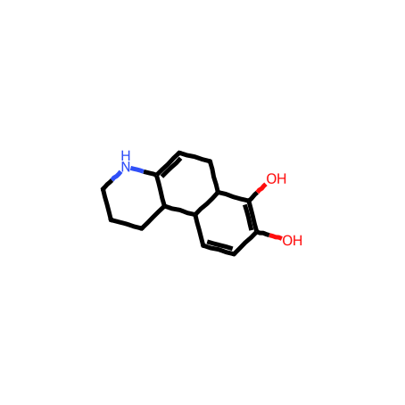 OC1=C(O)C2CC=C3NCCCC3C2C=C1